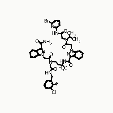 CC(CCN(CC(=O)NCc1cccc(Cl)c1F)C(=O)Cn1nc(C(N)=O)c2ccccc21)NC(=O)c1nn(CC(=O)N(CC(=O)Nc2cccc(Br)n2)C(C)C)c2ccccc12